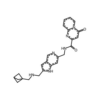 O=C(NCc1cc2[nH]c(CNCC34CC(C3)C4)cc2cn1)c1cc(=O)n2ccccc2n1